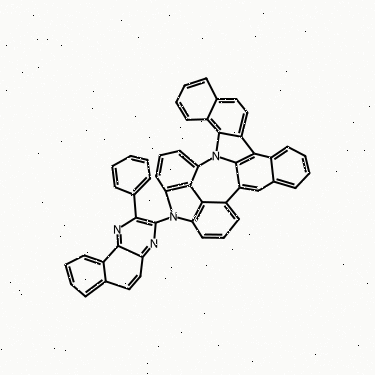 c1ccc(-c2nc3c(ccc4ccccc43)nc2-n2c3cccc4c5cc6ccccc6c6c7ccc8ccccc8c7n(c7cccc2c7c43)c56)cc1